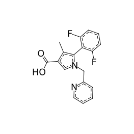 Cc1c(C(=O)O)cn(Cc2ccccn2)c1-c1c(F)cccc1F